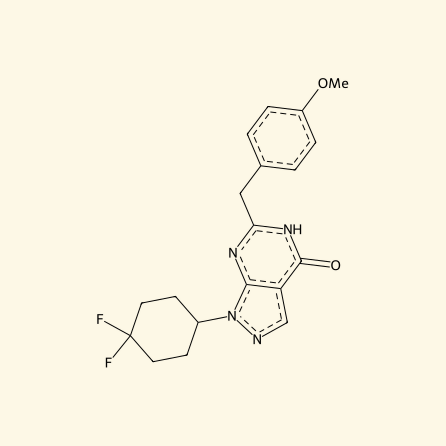 COc1ccc(Cc2nc3c(cnn3C3CCC(F)(F)CC3)c(=O)[nH]2)cc1